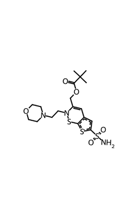 CC(C)(C)C(=O)OCC1=Cc2cc(S(N)(=O)=O)sc2SN1CCN1CCOCC1